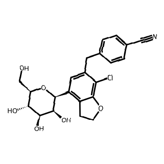 N#Cc1ccc(Cc2cc([C@@H]3O[C@H](CO)[C@@H](O)[C@H](O)[C@@H]3O)c3c(c2Cl)OCC3)cc1